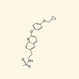 CS(=O)(=O)NCCc1ccc2nc(Oc3ccc(OCC4CC4)cc3)ccc2c1